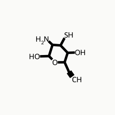 C#CC1OC(O)C(N)C(S)C1O